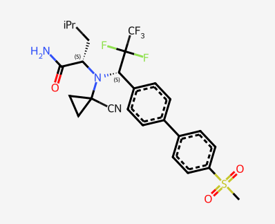 CC(C)C[C@@H](C(N)=O)N([C@@H](c1ccc(-c2ccc(S(C)(=O)=O)cc2)cc1)C(F)(F)C(F)(F)F)C1(C#N)CC1